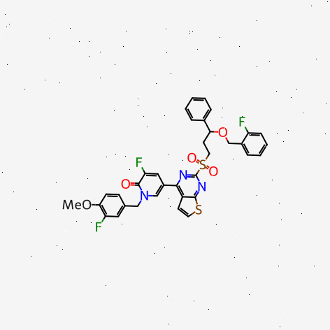 COc1ccc(Cn2cc(-c3nc(S(=O)(=O)CCC(OCc4ccccc4F)c4ccccc4)nc4sccc34)cc(F)c2=O)cc1F